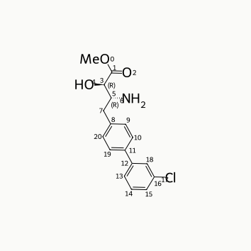 COC(=O)[C@H](O)[C@H](N)Cc1ccc(-c2cccc(Cl)c2)cc1